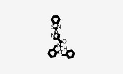 CN(Cc1ccccc1OCc1ccccc1)C(=O)c1cnn(-c2nc3ccccc3s2)c1